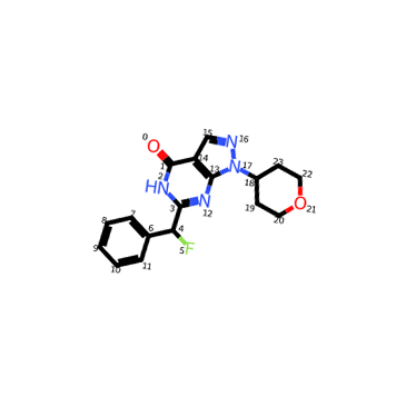 O=c1[nH]c(C(F)c2ccccc2)nc2c1cnn2C1CCOCC1